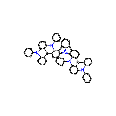 c1ccc(N2c3ccccc3B3c4ccc5c(c4N(c4ccccc4)c4cccc2c43)c2cccc3c4ccc6c(c4n5c32)N(c2ccccc2)c2cccc3c2B6c2ccccc2N3c2ccccc2)cc1